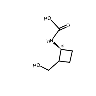 O=C(O)N[C@H]1CCC1CO